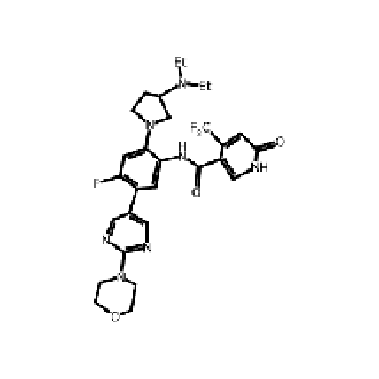 CCN(CC)C1CCN(c2cc(F)c(-c3cnc(N4CCOCC4)nc3)cc2NC(=O)c2c[nH]c(=O)cc2C(F)(F)F)C1